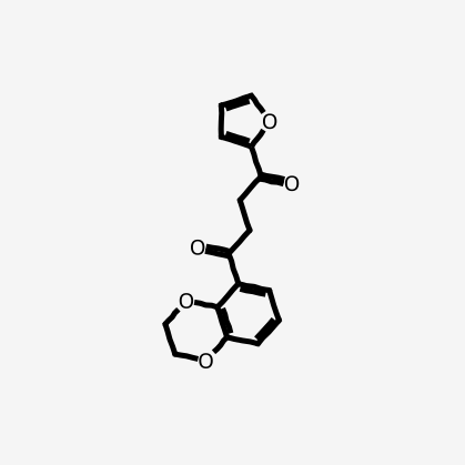 O=C(CCC(=O)c1cccc2c1OCCO2)c1ccco1